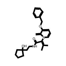 C=C1C(OCc2ccccc2)=CC=CN1C(C(=O)NCCC1(O)CCCC1)=C(C)C